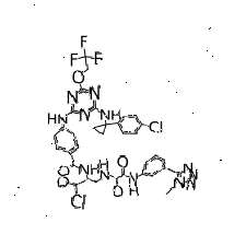 Cn1nnnc1-c1cccc(NC(=O)C(=O)NC[C@H](NC(=O)c2ccc(Nc3nc(NC4(c5ccc(Cl)cc5)CC4)nc(OCC(F)(F)F)n3)cc2)C(=O)Cl)c1